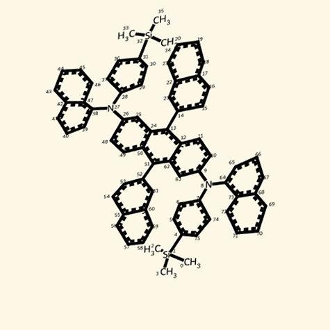 C[Si](C)(C)c1ccc(N(c2ccc3c(-c4ccc5ccccc5c4)c4cc(N(c5ccc([Si](C)(C)C)cc5)c5cccc6ccccc56)ccc4c(-c4ccc5ccccc5c4)c3c2)c2cccc3ccccc23)cc1